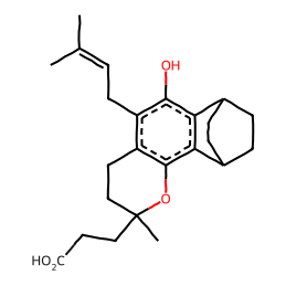 CC(C)=CCc1c(O)c2c(c3c1CCC(C)(CCC(=O)O)O3)C1CCC2CC1